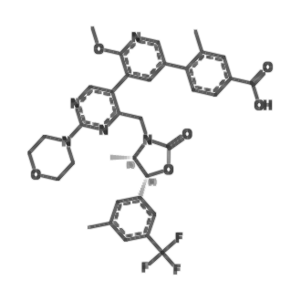 COc1ncc(-c2ccc(C(=O)O)cc2C)cc1-c1cnc(N2CCOCC2)nc1CN1C(=O)O[C@H](c2cc(C)cc(C(F)(F)F)c2)[C@@H]1C